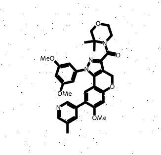 COc1cc(OC)cc(-n2nc(C(=O)N3CCOCC3(C)C)c3c2-c2cc(-c4cncc(C)c4)c(OC)cc2OC3)c1